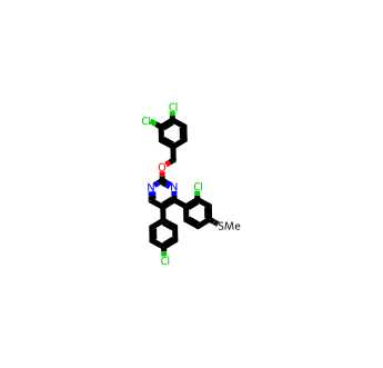 CSc1ccc(-c2nc(OCc3ccc(Cl)c(Cl)c3)ncc2-c2ccc(Cl)cc2)c(Cl)c1